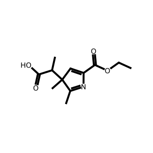 CCOC(=O)C1=CC(C)(C(C)C(=O)O)C(C)=N1